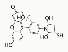 O=C(O)c1cc(N2C(O)CC(S)C2O)ccc1-c1c2ccc(=O)cc-2oc2cc(O)ccc12